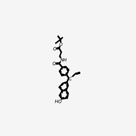 C=CC[C@@H](c1ccc(C(=O)NCCC(=O)OC(C)(C)C)cc1)c1ccc2cc(O)ccc2c1